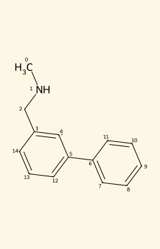 CNCc1[c]c(-c2ccccc2)ccc1